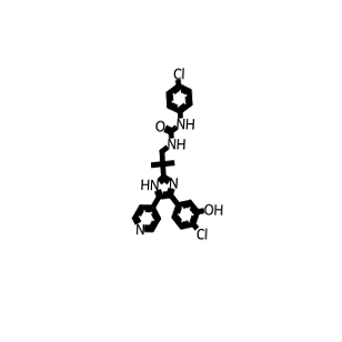 CC(C)(CNC(=O)Nc1ccc(Cl)cc1)c1nc(-c2ccc(Cl)c(O)c2)c(-c2ccncc2)[nH]1